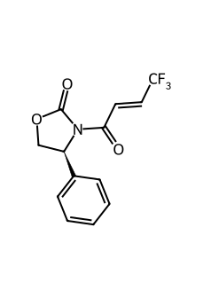 O=C(/C=C/C(F)(F)F)N1C(=O)OC[C@@H]1c1ccccc1